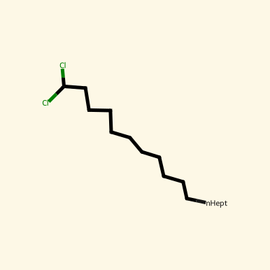 CCCCCCCCCCCCCCCCC[C](Cl)Cl